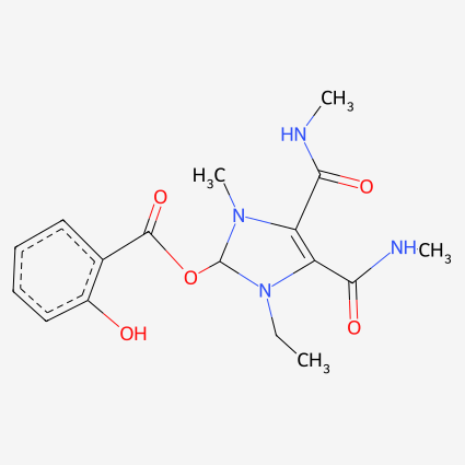 CCN1C(C(=O)NC)=C(C(=O)NC)N(C)C1OC(=O)c1ccccc1O